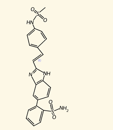 CS(=O)(=O)Nc1ccc(/C=C/c2nc3cc(-c4ccccc4S(N)(=O)=O)ccc3[nH]2)cc1